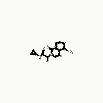 CC(C(=O)NC1CC1)n1ccc2c([N+](=O)[O-])cccc2c1=O